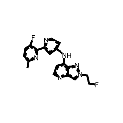 Cc1ccc(F)c(-c2cc(Nc3ccnc4cn(CCF)nc34)ccn2)n1